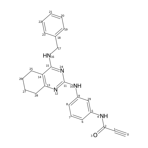 C#CC(=O)Nc1cccc(Nc2nc3c(c(NCc4ccccc4)n2)CCCC3)c1